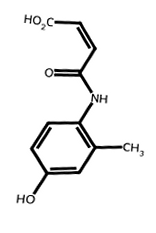 Cc1cc(O)ccc1NC(=O)/C=C\C(=O)O